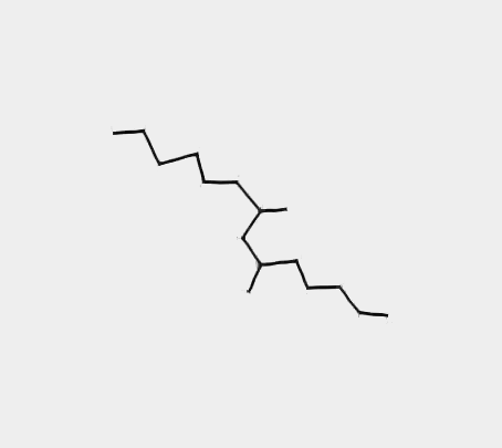 CCCCCCC(C)[CH]C(C)CCCCC